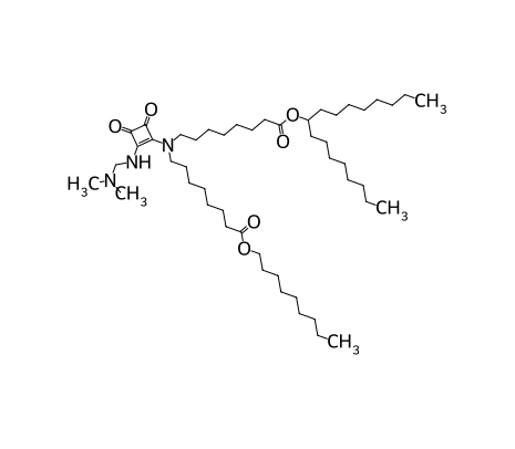 CCCCCCCCCOC(=O)CCCCCCCN(CCCCCCCC(=O)OC(CCCCCCCC)CCCCCCCC)c1c(NCN(C)C)c(=O)c1=O